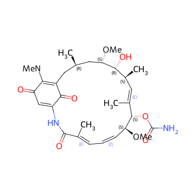 CNC1=C2C[C@@H](C)C[C@H](OC)[C@H](O)[C@@H](C)/C=C(\C)[C@H](OC(N)=O)[C@@H](OC)/C=C\C=C(/C)C(=O)NC(=CC1=O)C2=O